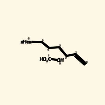 C=CCCCCCCCCCC.O=C(O)O